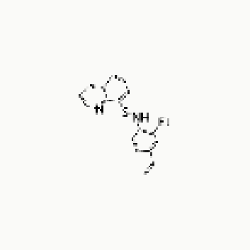 C=Cc1ccc(NSc2cccc3cccnc23)c(CC)c1